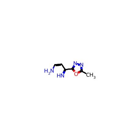 Cc1nnc(C(=N)/C=C\N)o1